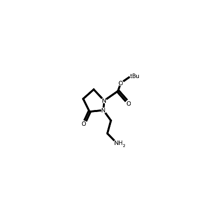 CC(C)(C)OC(=O)N1CCC(=O)N1CCN